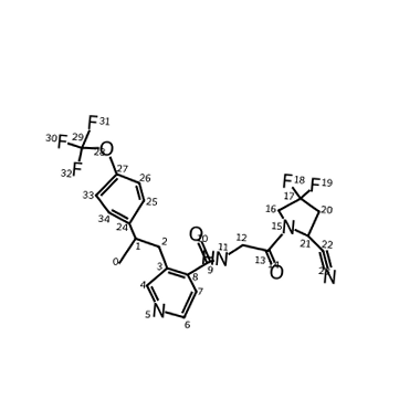 CC(Cc1cnccc1C(=O)NCC(=O)N1CC(F)(F)CC1C#N)c1ccc(OC(F)(F)F)cc1